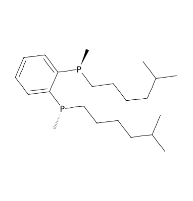 CC(C)CCCC[P@](C)c1ccccc1[P@@](C)CCCCC(C)C